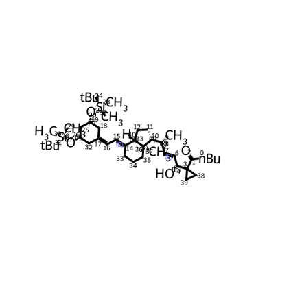 CCCCC(=O)C1([C@H](O)/C=C/[C@@H](C)[C@H]2CC[C@H]3/C(=C/C=C4C[C@@H](O[Si](C)(C)C(C)(C)C)C[C@H](O[Si](C)(C)C(C)(C)C)C4)CCC[C@]23C)CC1